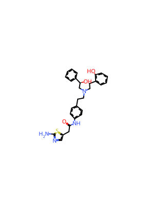 Nc1ncc(CC(=O)Nc2ccc(CCN(CCc3ccccc3O)C[C@H](O)c3ccccc3)cc2)s1